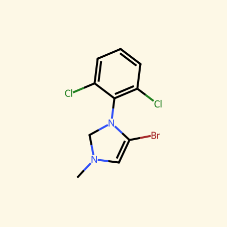 CN1C=C(Br)N(c2c(Cl)cccc2Cl)C1